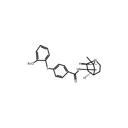 CC(=O)Oc1ccccc1Sc1ccc(C(=O)N[C@@H]2C3CCN(CC3)[C@H]2C)cc1